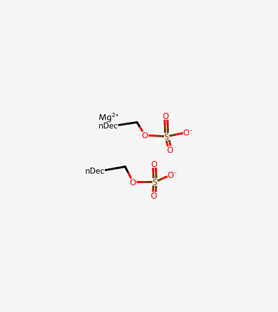 CCCCCCCCCCCOS(=O)(=O)[O-].CCCCCCCCCCCOS(=O)(=O)[O-].[Mg+2]